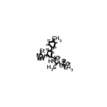 CCc1nnnn1-c1cc(C(=O)NC(C)COS(C)(=O)=O)cc(-c2ccc(C)cc2)c1